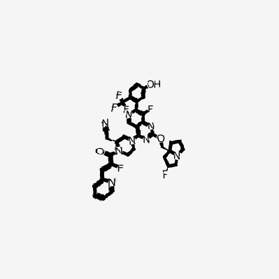 N#CC[C@H]1CN(c2nc(OC[C@@]34CCCN3C[C@H](F)C4)nc3c(F)c(-c4cc(O)ccc4C(F)(F)F)ncc23)CCN1C(=O)/C(F)=C/c1ccccn1